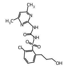 Cc1cc(C)nc(NC(=O)NS(=O)(=O)c2c(Cl)cccc2CCCO)n1